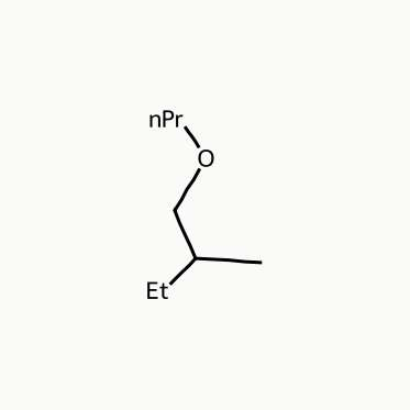 C[CH]COCC(C)CC